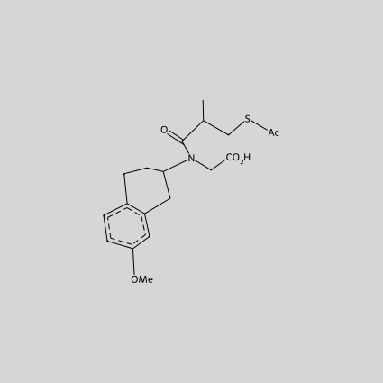 COc1ccc2c(c1)CC(N(CC(=O)O)C(=O)C(C)CSC(C)=O)CC2